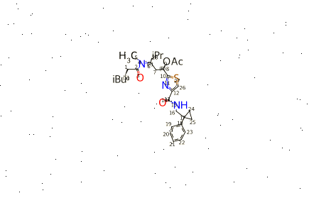 CC[C@H](C)CC(=O)N(C)[C@H](C[C@@H](OC(C)=O)c1nc(C(=O)NCC2(c3ccccc3)CC2)cs1)C(C)C